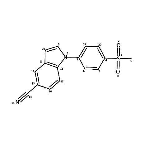 CS(=O)(=O)c1ccc(-n2ccc3cc(C#N)ccc32)cc1